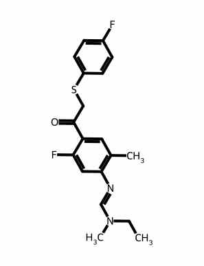 CCN(C)C=Nc1cc(F)c(C(=O)CSc2ccc(F)cc2)cc1C